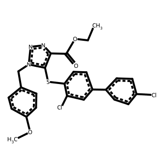 CCOC(=O)c1nnn(Cc2ccc(OC)cc2)c1Sc1ccc(-c2ccc(Cl)cc2)cc1Cl